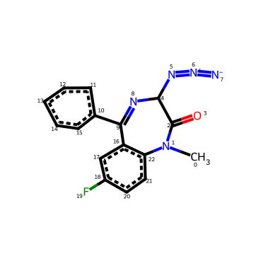 CN1C(=O)C(N=[N+]=[N-])N=C(c2ccccc2)c2cc(F)ccc21